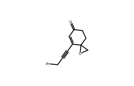 CC(C)CC#CC1=CC(=O)CCC12CO2